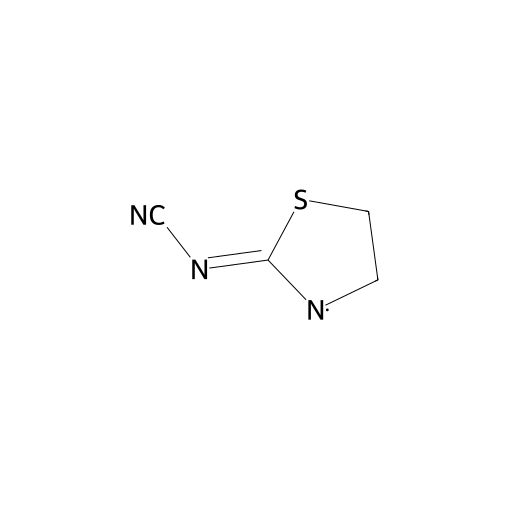 N#CN=C1[N]CCS1